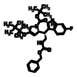 CC(C)(C)OC(=O)N1CC(O[Si](C)(C)C(C)(C)C)=C[C@H]1[C@@H](CNC(=O)OCc1ccccc1)c1c[nH]c2cc(F)ccc12